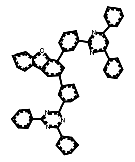 c1ccc(-c2cc(-c3ccccc3)nc(-c3cccc(-c4cc(-c5cccc(-c6nc(-c7ccccc7)nc(-c7ccccc7)n6)c5)cc5c4oc4ccccc45)c3)n2)cc1